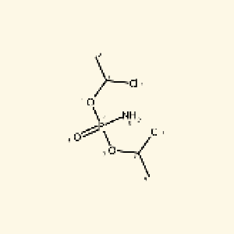 CC(Cl)OP(N)(=O)OC(C)Cl